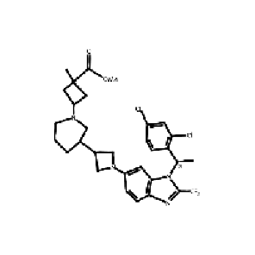 COC(=O)C1(C)CC(N2CCCC(C3CN(c4ccc5nc(C(F)(F)F)n([C@H](C)c6ccc(Cl)cc6Cl)c5c4)C3)C2)C1